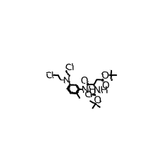 Cc1ccc(N(CCCl)CCCl)cc1NC(=O)C(CC(=O)OC(C)(C)C)NC(=O)OC(C)(C)C